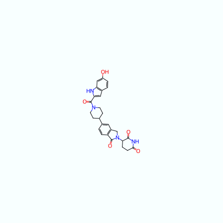 O=C1CCC(N2Cc3cc(C4CCN(C(=O)c5cc6ccc(O)cc6[nH]5)CC4)ccc3C2=O)C(=O)N1